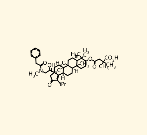 CC(C)C1=C2[C@H]3CC[C@@H]4[C@@]5(C)CC[C@H](OC(=O)CC(C)(C)C(=O)O)C(C)(C)[C@@H]5CC[C@@]4(C)[C@]3(C)CCC2(C(O)CN(C)C(=O)Cc2ccccc2)CC1=O